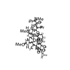 CC[C@H](C)[C@@H]([C@@H](CC(=O)N1C[C@H](OC)C[C@H]1[C@H](OC)[C@@H](C)C(=O)N[C@@H](Cc1ccccn1)C(=O)NS(=O)(=O)C1CC1)OC)N(C)C(=O)[C@@H](NC(=O)[C@@H](NC)C(C)C)C(C)C